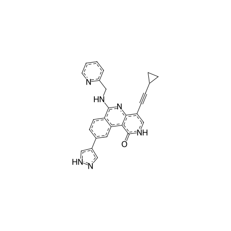 O=c1[nH]cc(C#CC2CC2)c2nc(NCc3ccccn3)c3ccc(-c4cn[nH]c4)cc3c12